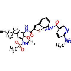 CNc1ccc(C(=O)Nc2cccc3cc(C(=O)Nc4cc(C(C)(C)C)cc(NS(C)(=O)=O)c4OC)sc23)cn1